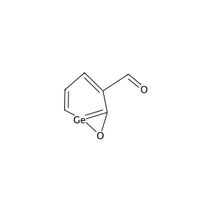 O=CC1=CC=[CH][Ge]2=[C]1[O]2